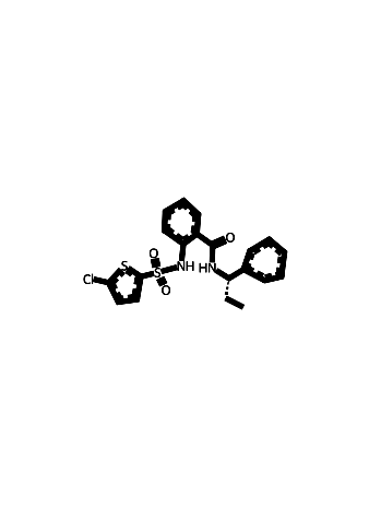 CC[C@H](NC(=O)c1ccccc1NS(=O)(=O)c1ccc(Cl)s1)c1ccccc1